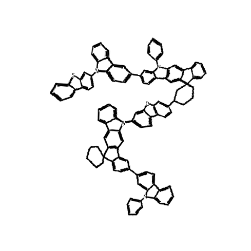 c1ccc(-n2c3ccccc3c3ccc(-c4ccc5c(c4)-c4cc6c(cc4C54CCCCC4)c4ccccc4n6-c4ccc5c(c4)oc4cc(C6CCCC7(C6)c6ccccc6-c6cc8c(cc67)c6ccc(-c7ccc9c(c7)c7ccccc7n9-c7ccc9c(c7)sc7ccccc79)cc6n8-c6ccccc6)ccc45)cc32)cc1